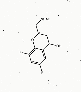 CC(=O)NCC1CC(O)c2cc(F)cc(F)c2O1